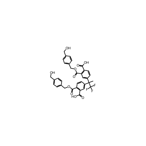 CC(c1ccc(C(=O)OCc2ccc(CO)cc2)c(C(=O)O)c1)(c1ccc(C(=O)O)c(C(=O)OCc2ccc(CO)cc2)c1)C(F)(F)F